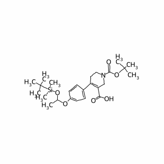 CC(Oc1ccc(C2=C(C(=O)O)CN(C(=O)OC(C)(C)C)CC2)cc1)O[Si](C)(C)C(C)(C)C